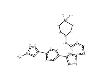 Cn1cc(-c2ccc(-c3cnc4cccc(OC5CCC(F)(F)CC5)n34)cc2)cn1